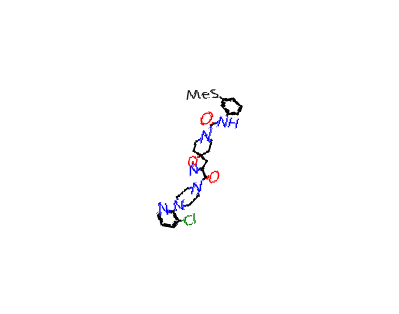 CSc1cccc(NC(=O)N2CCC3(CC2)CC(C(=O)N2CCN(c4ncccc4Cl)CC2)=NO3)c1